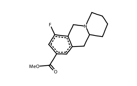 COC(=O)c1cc(F)c2c(c1)CC1CCCCN1C2